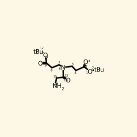 CC(C)(C)OC(=O)CCN(CCC(=O)OC(C)(C)C)C(=O)CN